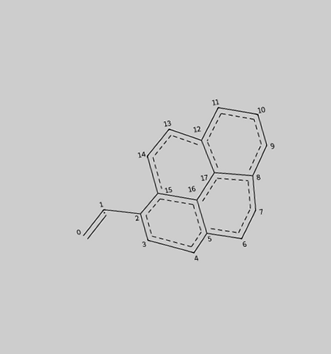 C=[C]c1ccc2ccc3cccc4ccc1c2c34